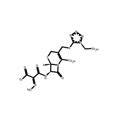 CCC(=O)C(=NO)C(=O)N[C@@H]1C(=O)N2C(C(=O)O)=C(CSc3nnnn3CS(=O)(=O)O)CS[C@@H]12